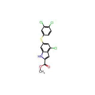 COC(=O)c1cc2c(Cl)cc(Sc3ccc(Cl)c(Cl)c3)cc2[nH]1